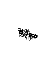 CC1=NC(N2CCC3(CC2)Cc2ccccc2[C@@H]3N)=C(C)C(O)N1C1=C(Cl)C(Cl)=CCC1C